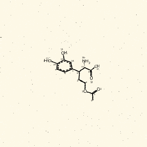 CC(=O)OCCC(c1ccc(O)c(O)c1)[C@H](N)C(=O)O